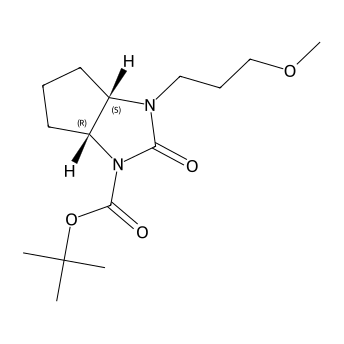 COCCCN1C(=O)N(C(=O)OC(C)(C)C)[C@@H]2CCC[C@@H]21